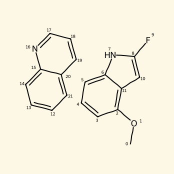 COc1cccc2[nH]c(F)cc12.c1ccc2ncccc2c1